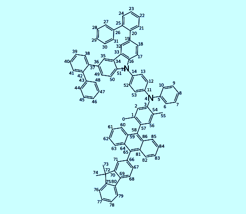 Cc1cc(N(c2ccccc2)c2ccc(-n3c4ccc(-c5ccccc5-c5ccccc5)cc4c4cc(-c5ccccc5-c5ccccc5)ccc43)cc2)c(C)cc1-c1c2ccccc2c(-c2ccc3c(c2)C(C)(C)c2ccccc2-3)c2ccccc12